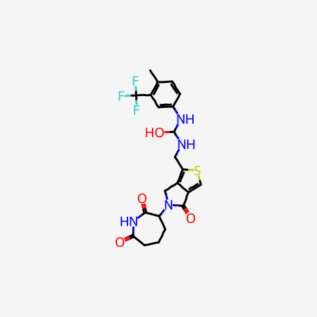 Cc1ccc(NC(O)NCc2scc3c2CN(C2CCCC(=O)NC2=O)C3=O)cc1C(F)(F)F